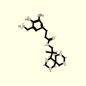 CC(C)(C)c1cc(CCC(=O)OCC(C)(C)C2OCOCC23COCOC3)cc(CN)c1O